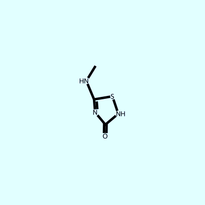 CNc1nc(=O)[nH]s1